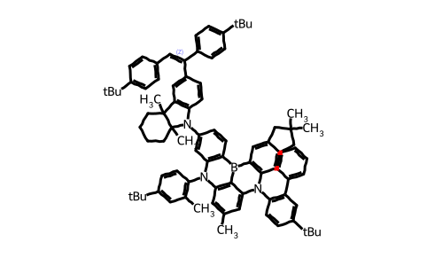 Cc1cc2c3c(c1)N(c1ccc(C(C)(C)C)cc1-c1ccccc1)c1cc4c(cc1B3c1ccc(N3c5ccc(/C(=C\c6ccc(C(C)(C)C)cc6)c6ccc(C(C)(C)C)cc6)cc5C5(C)CCCCC35C)cc1N2c1ccc(C(C)(C)C)cc1C)CC(C)(C)C4